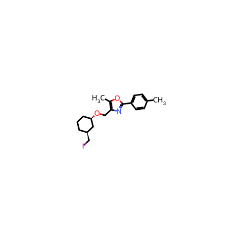 Cc1ccc(-c2nc(CO[C@@H]3CCC[C@H](CI)C3)c(C)o2)cc1